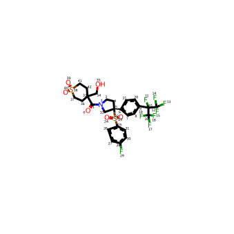 O=C(N1CC[C@](c2ccc(C(F)(C(F)(F)F)C(F)(F)F)cc2)(S(=O)(=O)c2ccc(F)cc2)C1)C1(CO)CCS(=O)(=O)CC1